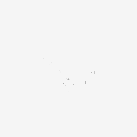 CC(C)C(C(=O)O)[C@H](Cc1ccc(N2CCC[C@@H]2CO)nc1)c1nnn[nH]1